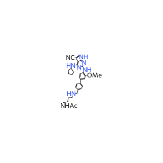 COc1cc(-c2ccc(CNCCCCNC(C)=O)cc2)ccc1Nc1nc(NC2CCCC2)c2c(C#N)c[nH]c2n1